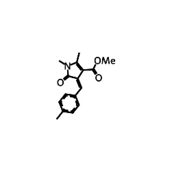 COC(=O)C1=C(C)N(C)C(=O)/C1=C\c1ccc(C)cc1